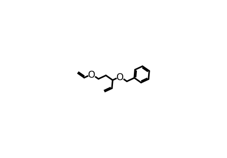 C=COCCC(C=C)OCc1ccccc1